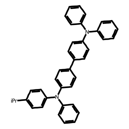 CC(C)c1ccc(N(c2ccccc2)c2ccc(-c3ccc(N(c4ccccc4)c4ccccc4)cc3)cc2)cc1